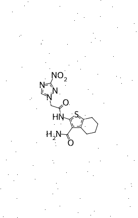 NC(=O)c1c(NC(=O)Cn2cnc([N+](=O)[O-])n2)sc2c1CCCC2